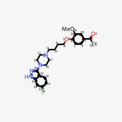 CCC(=O)c1ccc(OCCCCN2CCN(c3n[nH]c4cc(F)ccc34)CC2)c(OC)c1